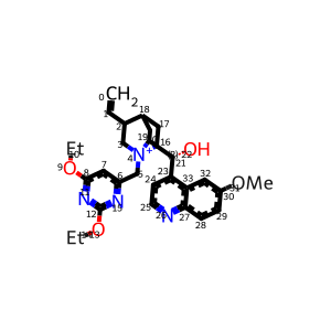 C=CC1C[N+]2(Cc3cc(OCC)nc(OCC)n3)CCC1CC2[C@H](O)c1ccnc2ccc(OC)cc12